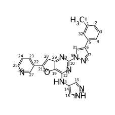 Cc1cccc(-c2cnn(-c3nc(Nc4cn[nH]c4)c4oc(-c5cccnc5)cc4n3)c2)c1